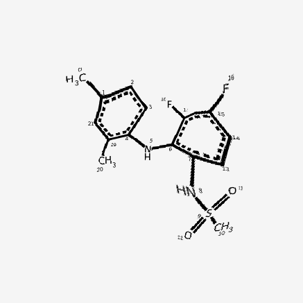 Cc1ccc(Nc2c(NS(C)(=O)=O)ccc(F)c2F)c(C)c1